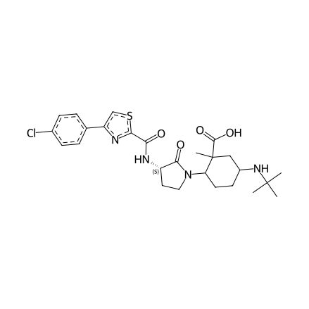 CC(C)(C)NC1CCC(N2CC[C@H](NC(=O)c3nc(-c4ccc(Cl)cc4)cs3)C2=O)C(C)(C(=O)O)C1